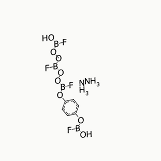 N.N.OB(F)OOB(F)OOB(F)Oc1ccc(OB(O)F)cc1